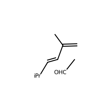 C=C(C)C=CC(C)C.CC=O